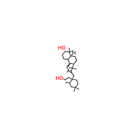 CC(=O)/C=C1/[C@@]2(C)CC[C@H](O)C(C)(C)[C@@H]2CC[C@@]1(C)C(C)(C)CC[C@@]1(CCO)CCC(C)(C)CC1C